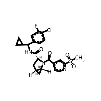 CS(=O)(=O)c1cc(C(=O)N2[C@@H](C(=O)NC(c3ccc(Cl)c(F)c3)C3CC3)C[C@H]3C[C@H]32)ccn1